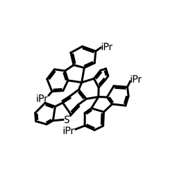 CC(C)c1ccc2c(c1)C1(c3cc(C(C)C)ccc3-2)c2ccccc2C2(c3cc(C(C)C)ccc3-c3ccc(C(C)C)cc32)c2cc3c(cc21)sc1ccccc13